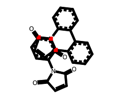 O=C1C=CC(=O)N1c1ccccc1-c1ccccc1-c1ccccc1N1C(=O)C=CC1=O